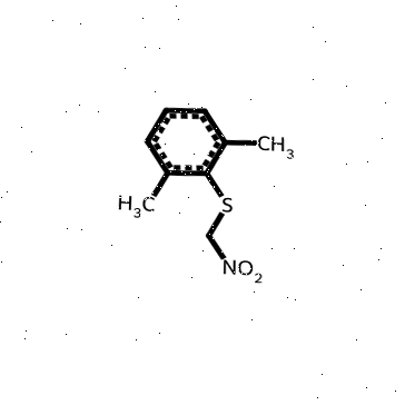 Cc1cccc(C)c1SC[N+](=O)[O-]